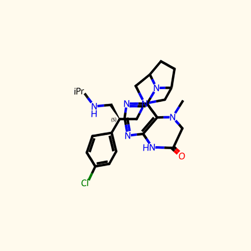 CC(C)NC[C@@H](CN1CC2CCC(C1)N2c1ncnc2c1N(C)CC(=O)N2)c1ccc(Cl)cc1